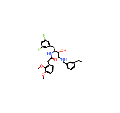 CCc1cccc(CNC[C@H](O)[C@H](Cc2cc(F)cc(F)c2)NC(=O)Cc2cccc(OC)c2OC)c1